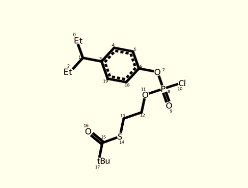 CCC(CC)c1ccc(OP(=O)(Cl)OCCSC(=O)C(C)(C)C)cc1